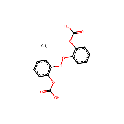 C.O=C(O)Oc1ccccc1OOc1ccccc1OC(=O)O